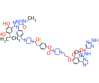 CCNC(=O)c1nnc(-c2cc(C(C)C)c(O)cc2O)n1-c1ccc(CN2CCN(C(=O)Cc3ccc(OC(=O)N4CCN(CCCOc5ccc6c(c5OC)N=C(NC(=O)c5cnc(N)nc5)N5CCN=C65)CC4)cc3F)CC2)cc1